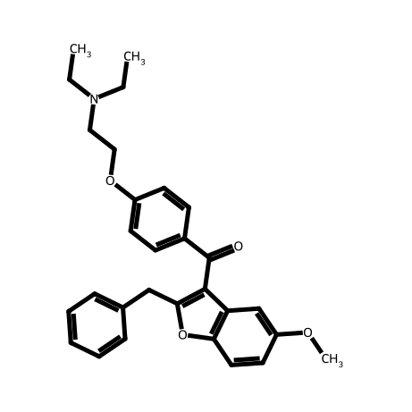 CCN(CC)CCOc1ccc(C(=O)c2c(Cc3ccccc3)oc3ccc(OC)cc23)cc1